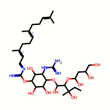 CCC(C)(O)C(OC(O)CC(O)CO)C(O)OC1C(O)C(O)C(OC(=N)N=C/C=C(\C)CC/C=C(\C)CCC=C(C)C)C(O)C1NC(=N)N